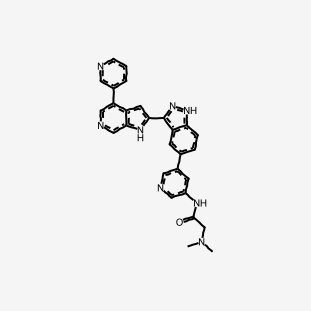 CN(C)CC(=O)Nc1cncc(-c2ccc3[nH]nc(-c4cc5c(-c6cccnc6)cncc5[nH]4)c3c2)c1